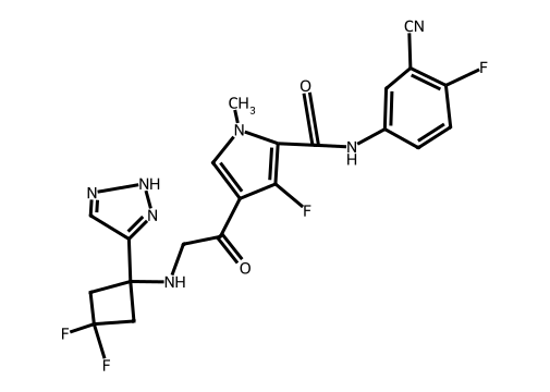 Cn1cc(C(=O)CNC2(c3cn[nH]n3)CC(F)(F)C2)c(F)c1C(=O)Nc1ccc(F)c(C#N)c1